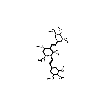 COC1CC(OC)C(/C=C/C2CC(OC)C(OC)C(OC)C2)C(OC)C1/C=C/C1CC(OC)C(OC)C(OC)C1